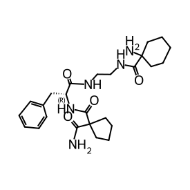 NC(=O)C1(C(=O)N[C@H](Cc2ccccc2)C(=O)NCCNC(=O)C2(N)CCCCC2)CCCC1